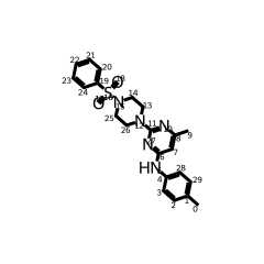 Cc1ccc(Nc2cc(C)nc(N3CCN(S(=O)(=O)c4ccccc4)CC3)n2)cc1